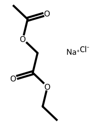 CCOC(=O)COC(C)=O.[Cl-].[Na+]